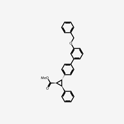 COC(=O)[C@@H]1[C@H](c2ccccc2)[C@H]1c1ccc(-c2cccc(OCc3ccccc3)c2)cc1